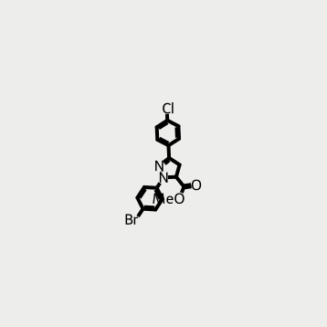 COC(=O)C1CC(c2ccc(Cl)cc2)=NN1c1ccc(Br)cc1